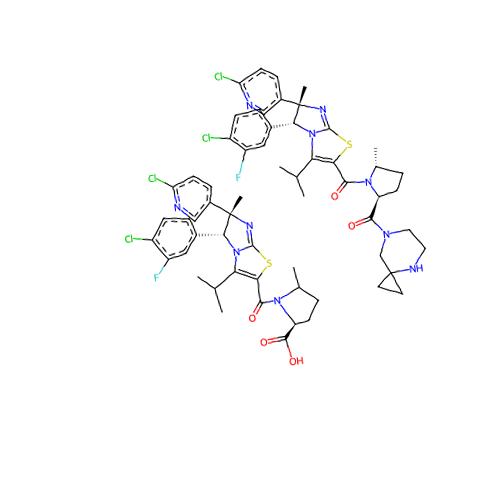 CC(C)C1=C(C(=O)N2C(C)CC[C@H]2C(=O)O)SC2=N[C@@](C)(c3ccc(Cl)nc3)[C@@H](c3ccc(Cl)c(F)c3)N21.CC(C)C1=C(C(=O)N2[C@H](C)CC[C@H]2C(=O)N2CCNC3(CC3)C2)SC2=N[C@@](C)(c3ccc(Cl)nc3)[C@@H](c3ccc(Cl)c(F)c3)N21